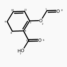 O=COC1=C(C(=O)O)CCC=C1